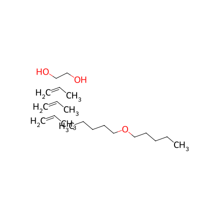 C=CC.C=CC.C=CC.CCCCCOCCCCC.OCCO